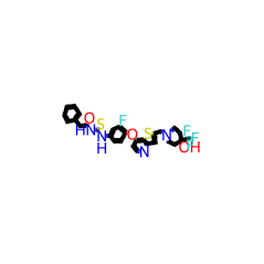 O=C(Cc1ccccc1)NC(=S)Nc1ccc(Oc2ccnc3cc(CN4CCC(O)(C(F)(F)F)CC4)sc23)c(F)c1